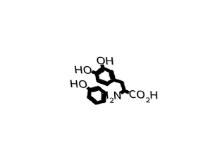 NC(Cc1ccc(O)c(O)c1)C(=O)O.Oc1ccccc1